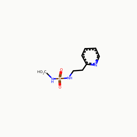 O=C(O)NS(=O)(=O)NCCc1ccccn1